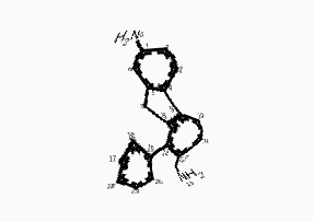 Nc1ccc2c(c1)Cc1c-2ccc(N)c1-c1ccccc1